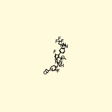 COc1nc(N[C@H]2CCN(C3COC3)C[C@H]2F)nn2cc(F)c(-c3ccc4nnn(CC(F)(F)F)c4c3)c12